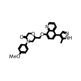 COc1ccc(N2CC(COc3ccc(-c4cn[nH]c4C)c4cccnc34)OCC2=O)cc1